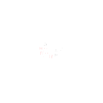 O.O.O.[AlH3].[Zr].[Zr]